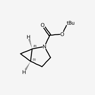 CC(C)(C)OC(=O)N1CC[C@H]2C[C@H]21